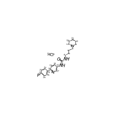 Cl.O=C(NCCCCN1CCCCC1)Nc1ccc(-c2ccc(F)cc2)nc1